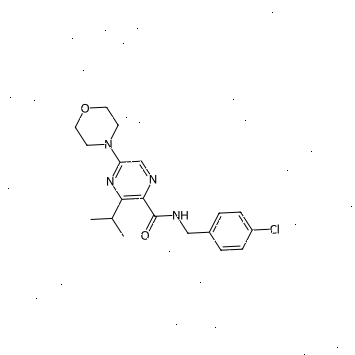 CC(C)c1nc(N2CCOCC2)cnc1C(=O)NCc1ccc(Cl)cc1